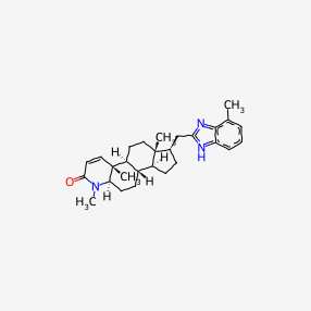 Cc1cccc2[nH]c(C[C@H]3CC[C@H]4[C@@H]5CC[C@H]6N(C)C(=O)C=C[C@]6(C)[C@H]5CC[C@]34C)nc12